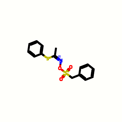 C/C(=N/OS(=O)(=O)Cc1ccccc1)Sc1ccccc1